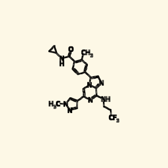 Cc1cc(-c2cnc3c(NCCC(F)(F)F)nc(-c4cnn(C)c4)cn23)ccc1C(=O)NC1CC1